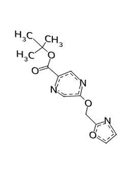 CC(C)(C)OC(=O)c1cnc(OCc2ncco2)cn1